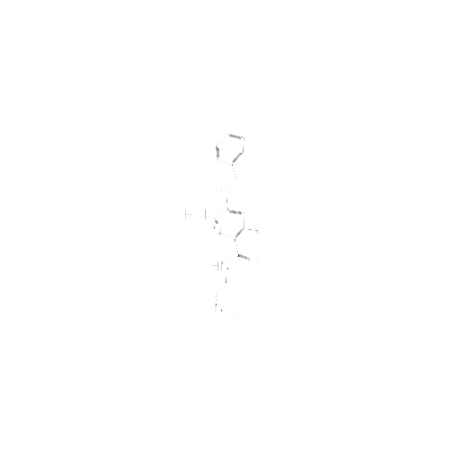 Cl.NCCNC(=O)c1ncc(OCc2ccccc2)cc1Cl